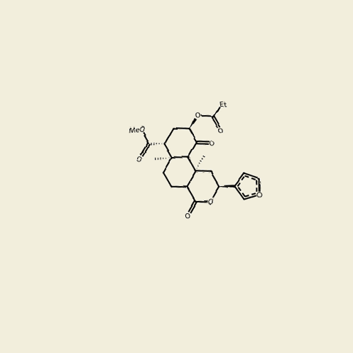 CCC(=O)O[C@@H]1C[C@@H](C(=O)OC)[C@]2(C)CCC3C(=O)O[C@H](c4ccoc4)C[C@]3(C)C2C1=O